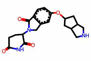 O=C1CCC(N2Cc3cc(OC4CC5CNCC5C4)ccc3C2=O)C(=O)N1